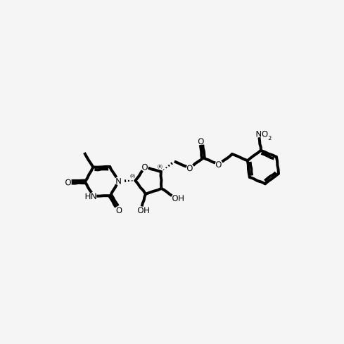 Cc1cn([C@@H]2O[C@H](COC(=O)OCc3ccccc3[N+](=O)[O-])C(O)C2O)c(=O)[nH]c1=O